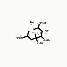 CCCCCC(C)CC(C(=O)[O-])C(CC(C)CCCCC)(C(=O)[O-])S(=O)(=O)O.[Na+].[Na+]